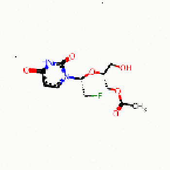 CC(=O)OC[C@@H](CO)O[C@H](CF)n1ccc(=O)[nH]c1=O